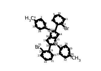 Cc1ccc(-n2c(-c3ccccc3Br)cc3c2cc(-c2ccccc2Br)n3-c2ccc(C)cc2)cc1